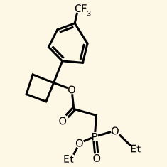 CCOP(=O)(CC(=O)OC1(c2ccc(C(F)(F)F)cc2)CCC1)OCC